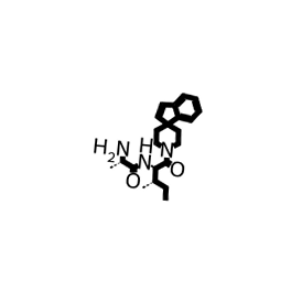 CC[C@H](C)[C@H](NC(=O)[C@H](C)N)C(=O)N1CCC2(C=Cc3ccccc32)CC1